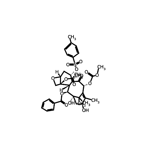 COC(=O)O[C@H]1C(=O)[C@]2(C)[C@@H](OS(=O)(=O)c3ccc(C)cc3)C[C@H]3OC[C@@]3(OC(C)=O)[C@H]2[C@H](OC(=O)c2ccccc2)[C@]2(O)C[C@H](O)C(C)=C1C2(C)C